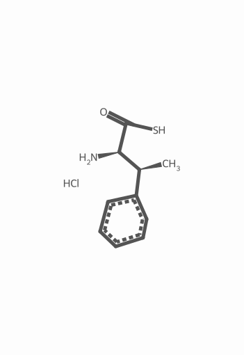 C[C@@H](c1ccccc1)[C@@H](N)C(=O)S.Cl